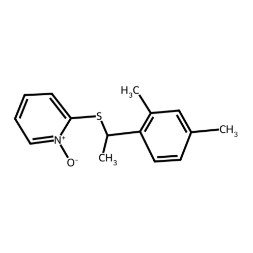 Cc1ccc(C(C)Sc2cccc[n+]2[O-])c(C)c1